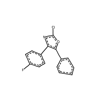 Fc1ccc(-c2nc(Cl)oc2-c2ccccc2)cc1